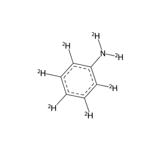 [2H]c1c([2H])c([2H])c(N([2H])[2H])c([2H])c1[2H]